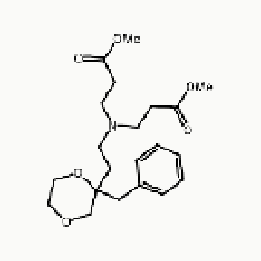 COC(=O)CCN(CCC(=O)OC)CCC1(Cc2ccccc2)COCCO1